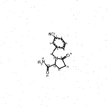 N#Cc1cccc(CN2C(=O)C[CH]C2C(N)=O)c1